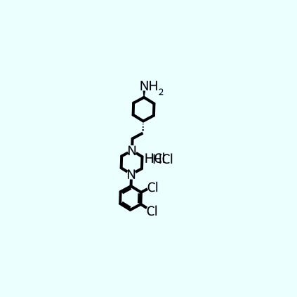 Cl.Cl.N[C@H]1CC[C@H](CCN2CCN(c3cccc(Cl)c3Cl)CC2)CC1